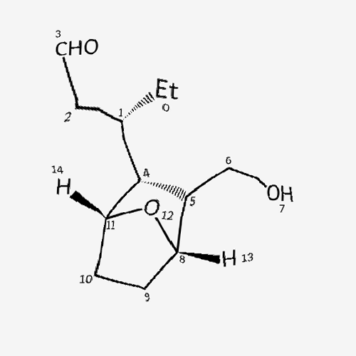 CC[C@@H](CC=O)[C@@H]1C(CO)[C@@H]2CC[C@H]1O2